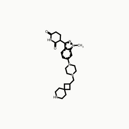 Cn1nc(C2CCC(=O)NC2=O)c2ccc(N3CCN(CC4CC5(CCNCC5)C4)CC3)cc21